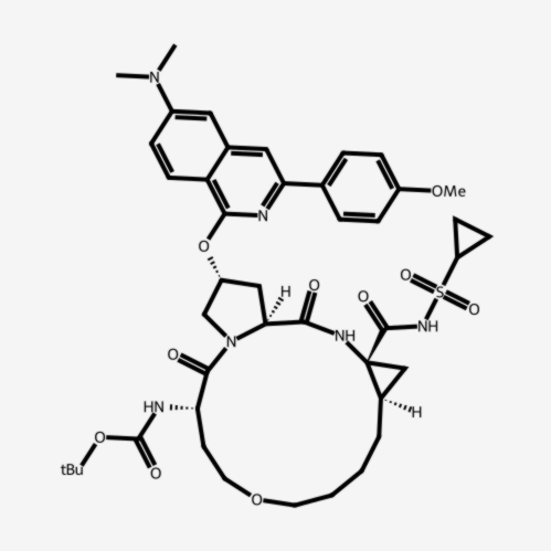 COc1ccc(-c2cc3cc(N(C)C)ccc3c(O[C@@H]3C[C@H]4C(=O)N[C@]5(C(=O)NS(=O)(=O)C6CC6)C[C@H]5CCCCOCC[C@H](NC(=O)OC(C)(C)C)C(=O)N4C3)n2)cc1